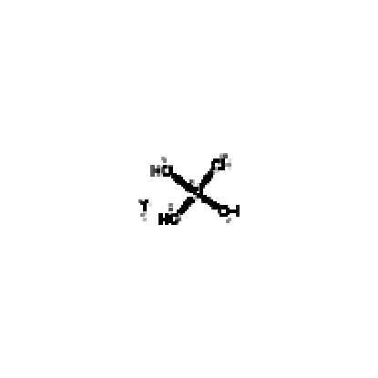 O[Si](O)(O)O.[Y]